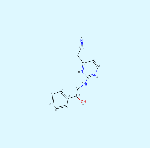 N#CCc1ccnc(NCC(O)c2ccccc2)n1